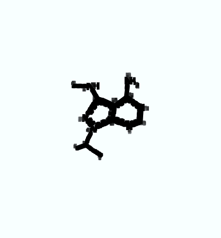 CNc1nn(C(C)C)c2ncnc(N)c12